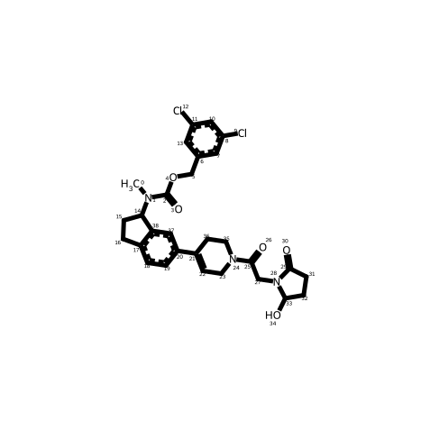 CN(C(=O)OCc1cc(Cl)cc(Cl)c1)C1CCc2ccc(C3=CCN(C(=O)CN4C(=O)CCC4O)CC3)cc21